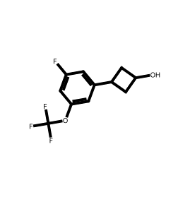 OC1CC(c2cc(F)cc(OC(F)(F)F)c2)C1